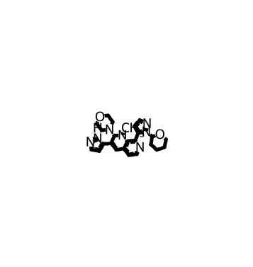 CN1c2c(ccnc2-c2ccnn2C2CCCCO2)C=C(c2ccn[nH]2)C1N1CCOCC1